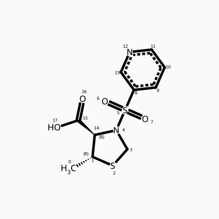 C[C@H]1SCN(S(=O)(=O)c2cccnc2)[C@@H]1C(=O)O